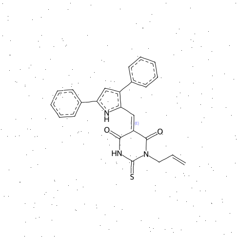 C=CCN1C(=O)/C(=C/c2[nH]c(-c3ccccc3)cc2-c2ccccc2)C(=O)NC1=S